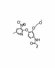 C=CC(=O)Nc1ccc(Oc2ncc(C)cc2[N+](=O)[O-])c(OCCOC)c1